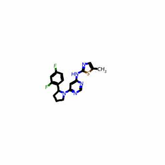 Cc1cnc(Nc2cc(N3CCCC3c3ccc(F)cc3F)ncn2)s1